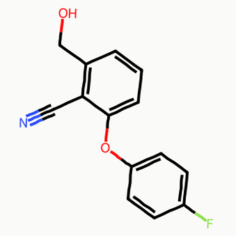 N#Cc1c(CO)cccc1Oc1ccc(F)cc1